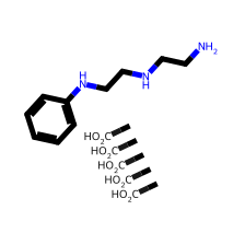 CC(=O)O.CC(=O)O.CC(=O)O.CC(=O)O.CC(=O)O.NCCNCCNc1ccccc1